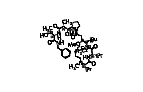 CC[C@H](C)[C@@H]([C@@H](CC(=O)N1CCC[C@H]1[C@H](OC)[C@@H](C)C(=O)N[C@H](C(=O)NCc1ccccc1)[C@@H](C)O)OC)N(C)C(=O)[C@@H](NC(=O)[C@H](C(C)C)N(C)CCCC(=O)O)C(C)C